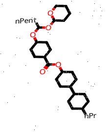 CCCCCC(OC1CCC(C(=O)OC2CCC(C3CCC(CCC)CC3)CC2)CC1)OC1CCCCO1